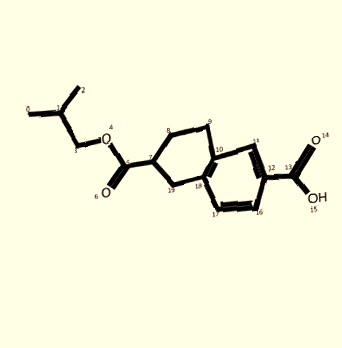 CC(C)COC(=O)C1CCc2cc(C(=O)O)ccc2C1